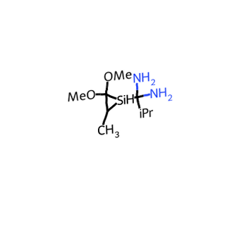 COC1(OC)C(C)[SiH]1C(N)(N)C(C)C